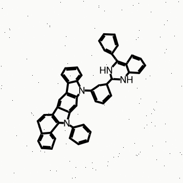 C1=CC2=C(c3ccccc3)NC(C3C=CC=C(n4c5ccccc5c5cc6c7ccc8ccccc8c7n(-c7ccccc7)c6cc54)C3)NC2C=C1